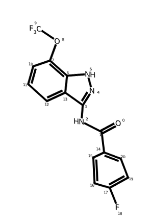 O=C(Nc1n[nH]c2c(OC(F)(F)F)cccc12)c1ccc(F)cc1